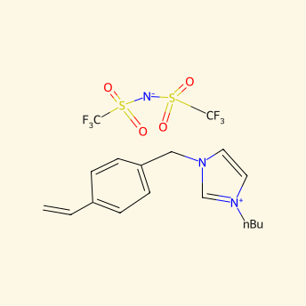 C=Cc1ccc(Cn2cc[n+](CCCC)c2)cc1.O=S(=O)([N-]S(=O)(=O)C(F)(F)F)C(F)(F)F